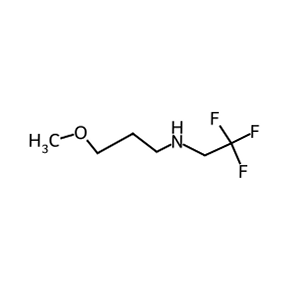 COCCCNCC(F)(F)F